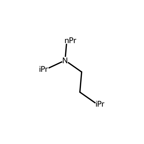 CCCN(CCC(C)C)C(C)C